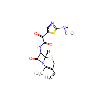 C=CC1=C(C(=O)O)N2C(=O)C(NC(=O)C(=O)c3cnc(NC=O)s3)[C@@H]2SC1